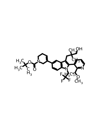 CO[C@@H](C)c1ncccc1-c1c(CC(C)(C)CO)c2cc(C3=CCCN(C(=O)OC(C)(C)C)C3)ccc2n1CC(F)(F)F